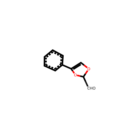 O=CC1OC=C(c2ccccc2)O1